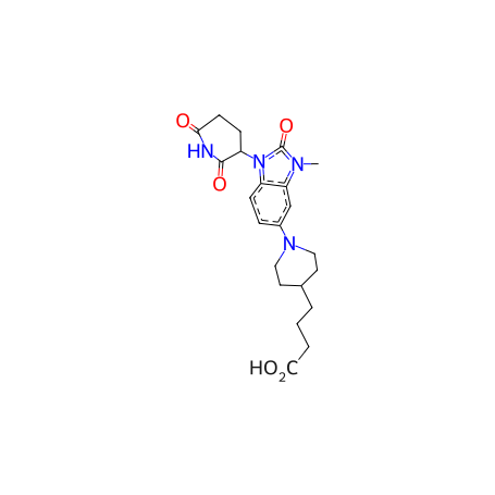 Cn1c(=O)n(C2CCC(=O)NC2=O)c2ccc(N3CCC(CCCC(=O)O)CC3)cc21